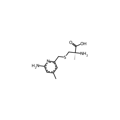 Cc1cc(N)nc(CSC[C@](C)(N)C(=O)O)c1